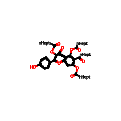 CCCCCCCC(=O)Oc1cc2oc(-c3ccc(O)cc3)c(OC(=O)CCCCCCC)c(=O)c2c(OC(=O)CCCCCCC)c1C(=O)CCCCCCC